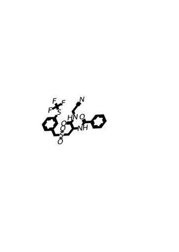 N#CCNC(=O)C(CS(=O)(=O)Cc1cccc(SC(F)(F)F)c1)NC(=O)c1ccccc1